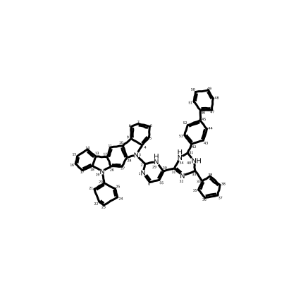 C1=NC(n2c3ccccc3c3cc4c5ccccc5n(-c5ccccc5)c4cc32)NC(C2=NC(c3ccccc3)NC(c3ccc(-c4ccccc4)cc3)N2)=C1